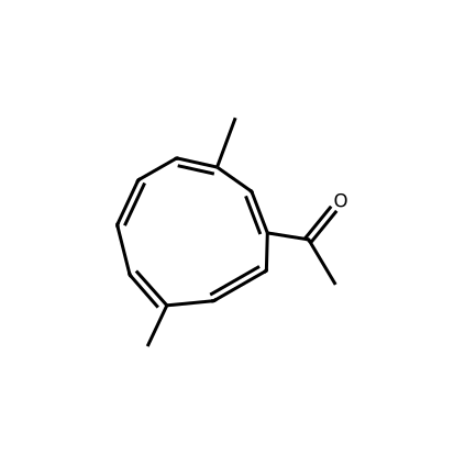 CC(=O)c1ccc(C)ccccc(C)c1